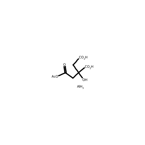 CC(=O)OC(=O)CC(O)(CC(=O)O)C(=O)O.[AlH3]